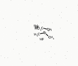 C[B]C.F.F.F.O=C(O)O